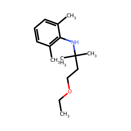 CCOCCC(C)(C)Nc1c(C)cccc1C